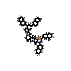 BC1=C(/C=C2\CCC(C(=C\C(=S)c3ccc4ccccc4c3)/C3C=Cc4ccccc4C3)=C2C)CCC/C1=C\C1=C2SC(c3ccc4ccccc4c3)=CC(c3ccc4ccccc4c3)=C2CC1